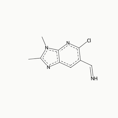 Cc1nc2cc(C=N)c(Cl)nc2n1C